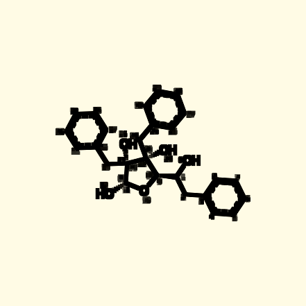 OC(Cc1ccccc1)[C@H]1O[C@H](O)[C@@](O)(Cc2ccccc2)[C@@]1(O)Cc1ccccc1